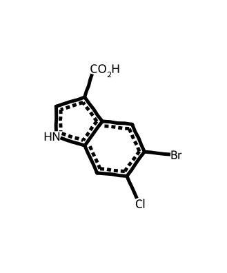 O=C(O)c1c[nH]c2cc(Cl)c(Br)cc12